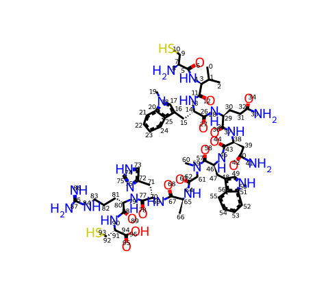 CC(C)[C@H](NC(=O)[C@@H](N)CS)C(=O)N[C@@H](Cc1cn(C)c2ccccc12)C(=O)N[C@@H](CCC(N)=O)C(=O)N[C@@H](CC(N)=O)C(=O)N[C@@H](Cc1c[nH]c2ccccc12)C(=O)N(C)CC(=O)N[C@@H](C)C(=O)N[C@@H](Cc1c[nH]cn1)C(=O)N[C@@H](CCCNC(=N)N)C(=O)N[C@@H](CS)C(=O)O